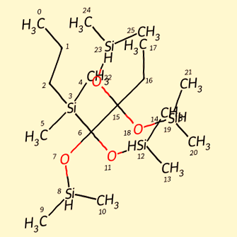 CCC[Si](C)(C)C(O[SiH](C)C)(O[SiH](C)C)C(CC)(O[SiH](C)C)O[SiH](C)C